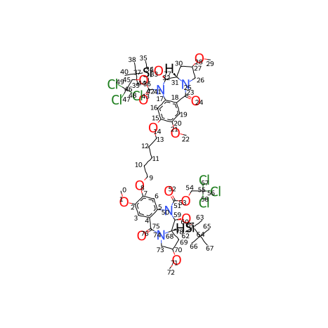 COc1cc2c(cc1OCCCCCOc1cc3c(cc1OC)C(=O)N1CC(OC)C[C@H]1[C@H](O[Si](C)(C)C(C)(C)C)N3C(=O)OCC(Cl)(Cl)Cl)N(C(=O)OCC(Cl)(Cl)Cl)[C@@H](O[Si](C)(C)C(C)(C)C)[C@@H]1CC(OC)CN1C2=O